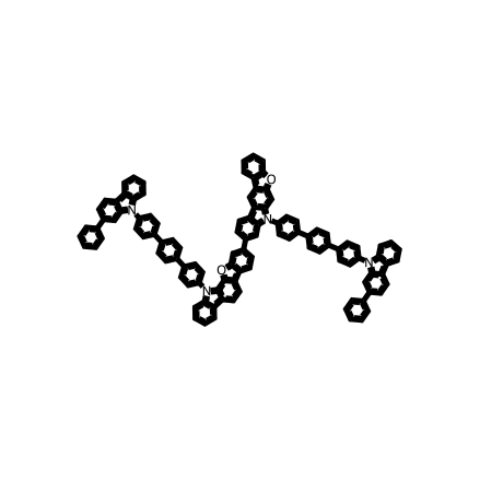 c1ccc(-c2ccc3c4ccccc4n(-c4ccc(-c5ccc(-c6ccc(-n7c8cc(-c9ccc%10c(c9)oc9c%10ccc%10c%11ccccc%11n(-c%11ccc(-c%12ccc(-c%13ccc(-n%14c%15ccccc%15c%15ccc(-c%16ccccc%16)cc%15%14)cc%13)cc%12)cc%11)c%109)ccc8c8cc9c(cc87)oc7ccccc79)cc6)cc5)cc4)c3c2)cc1